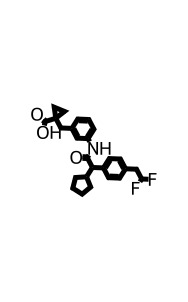 O=C(Nc1cccc(CC2(C(=O)O)CC2)c1)C(c1ccc(CC(F)F)cc1)C1CCCC1